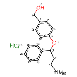 CNCCC(Oc1ccc(CO)cc1)c1ccccc1.Cl